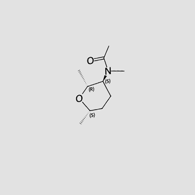 CC(=O)N(C)[C@H]1CC[C@H](C)O[C@@H]1C